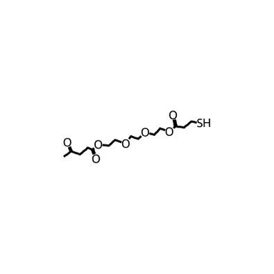 CC(=O)CCC(=O)OCCOCCOCCOC(=O)CCS